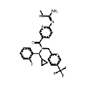 CN/C(N)=N\c1ccc(C(=O)N(Cc2ccc(C(F)(F)F)cn2)C(c2ccccc2F)C2CC2)cn1